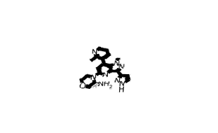 Cc1ncccc1-c1cc(N2CCOC[C@H]2N)nc2c(-c3cc[nH]n3)nn(C)c12